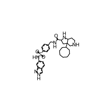 O=C(NCc1ccc(S(=O)(=O)Nc2ccc3c[nH]nc3c2)cc1)C1CC2(C3CCCCCCC3)CNCCC2N1